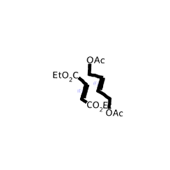 CC(=O)OC/C=C/COC(C)=O.CCOC(=O)/C=C/C(=O)OCC